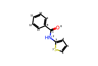 O=C(Nc1cccs1)c1ccccc1